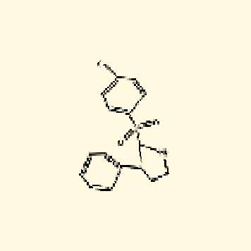 O=S(=O)(c1ccc(Cl)cc1)C1NCCC1c1ccccc1